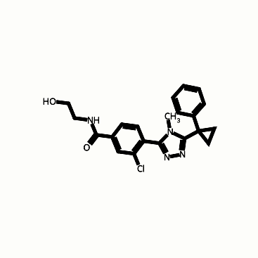 Cn1c(-c2ccc(C(=O)NCCO)cc2Cl)nnc1C1(c2ccccc2)CC1